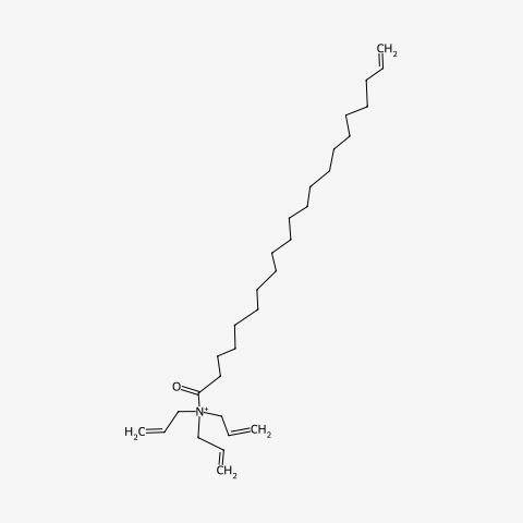 C=CCCCCCCCCCCCCCCCCCCC(=O)[N+](CC=C)(CC=C)CC=C